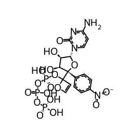 Nc1ccn([C@@H]2O[C@](c3ccc([N+](=O)[O-])cc3)(C3(OP(=O)(O)OP(=O)(O)OP(=O)(O)O)C=CO3)[C@@H](O)[C@H]2O)c(=O)n1